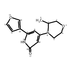 CC1COCCN1c1cc(-c2ccoc2)[nH]c(=O)c1